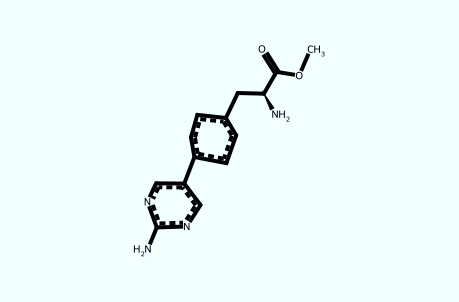 COC(=O)[C@@H](N)Cc1ccc(-c2cnc(N)nc2)cc1